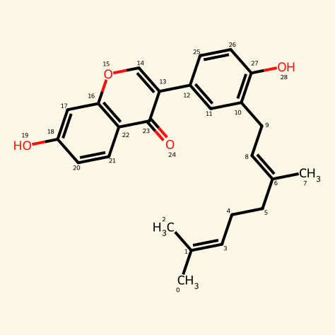 CC(C)=CCC/C(C)=C/Cc1cc(-c2coc3cc(O)ccc3c2=O)ccc1O